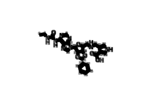 CCNC(=O)Nc1ncnc2c1ncn2C1OC(CNCc2c[nH]cc2C(=O)O)C2O[C@H](c3ccccc3)OC21